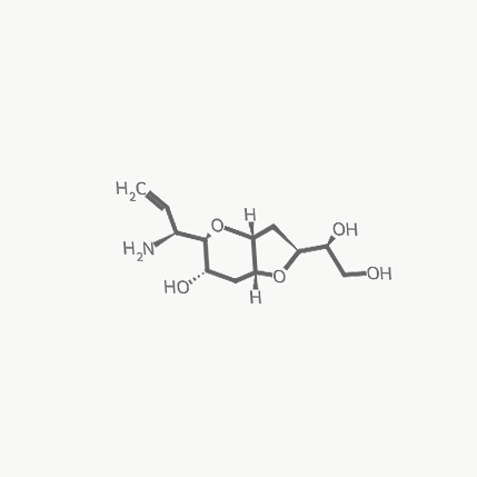 C=C[C@H](N)[C@@H]1O[C@@H]2C[C@@H]([C@@H](O)CO)O[C@@H]2C[C@@H]1O